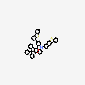 c1ccc(N(c2ccc3cc4c(cc3c2)sc2ccccc24)c2ccc(-c3cccc4c3sc3ccccc34)cc2-c2cccc3c2-c2ccccc2C3(c2ccccc2)c2ccccc2)cc1